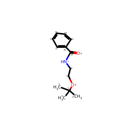 CC(C)(C)OCCNC(=O)c1ccccc1